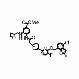 COC(=O)c1ccc(NC(=O)CC2CC=C(c3ncc(F)c(OCc4ccc(Cl)c5cc(F)oc45)n3)CC2)c(NC[C@@H]2CCO2)c1